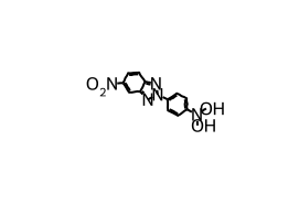 O=[N+]([O-])c1ccc2nn(-c3ccc(N(O)O)cc3)nc2c1